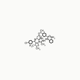 CC(=N)N1C(=N)C(CC(=O)OC(C)c2ccc(C(=O)Nc3ccccc3N)cc2)N=C(c2ccc(Cl)cc2)C2=C1SC(C)C2C